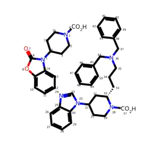 O=C(O)N1CCC(n2c(=O)oc3ccccc32)CC1.O=C(O)N1CCC(n2cnc3ccccc32)C[C@@H]1CCCN(Cc1ccccc1)Cc1ccccc1